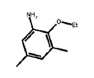 CCOc1c(C)cc(C)cc1N